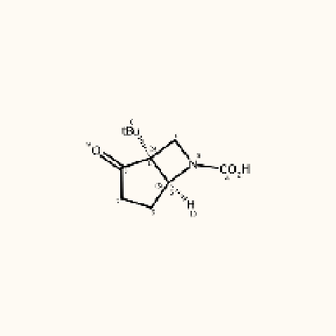 CC(C)(C)[C@]12CN(C(=O)O)[C@H]1CCC2=O